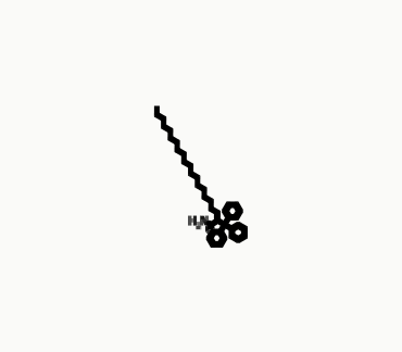 CCCCCCCCCCCCCCCCCCC=C(C(N)=O)C(c1ccccc1)(c1ccccc1)c1ccccc1